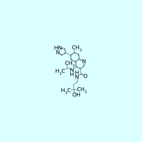 Cc1cc2ncc(C(=O)NCCC(C)(C)O)c(NC(C)C)c2cc1-c1cn[nH]c1